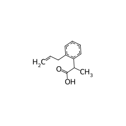 C=CCc1ccccc1C(C)C(=O)O